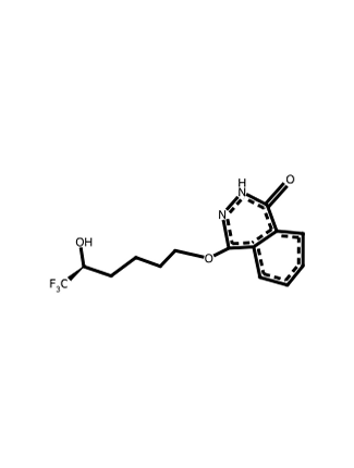 O=c1[nH]nc(OCCCC[C@H](O)C(F)(F)F)c2ccccc12